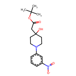 CC(C)(C)OC(=O)CC1(O)CCN(c2cccc([N+](=O)[O-])c2)CC1